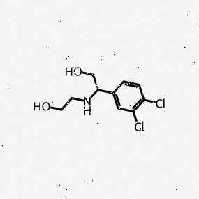 OCCN[C@@H](CO)c1ccc(Cl)c(Cl)c1